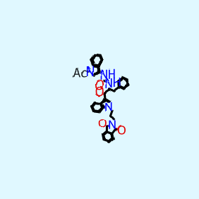 CC(=O)n1cc(NC(=O)NC(Cc2ccccc2)C(=O)c2cn(CCCN3C(=O)c4ccccc4C3=O)c3ccccc23)c2ccccc21